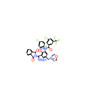 O=C(Nc1cc(CN2CCOCC2)c2[nH]nc(N3C(=O)c4ccccc4C3=O)c2c1Oc1cc(F)ccc1Cl)c1cc(F)cc(C(F)(F)F)c1